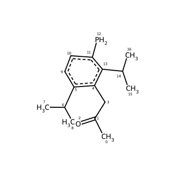 CC(=O)Cc1c(C(C)C)ccc(P)c1C(C)C